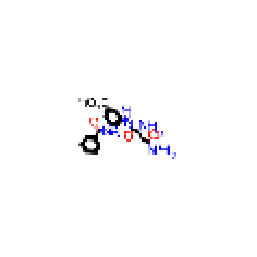 NC(=O)CC(N)C(=O)Nc1cc(NC(=O)c2ccccc2)cc(C(=O)O)c1